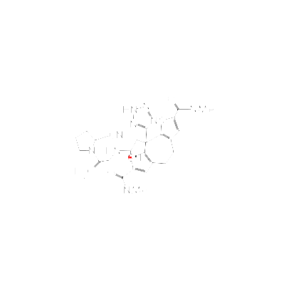 C=C(CN[C@@H](C)CC1(c2nn[nH]n2)c2sc(C(=O)NC)cc2CCc2cc(C(=O)NC)sc21)N1CCCC1C#N